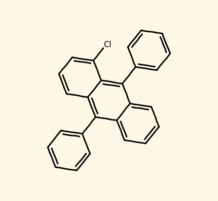 Clc1cccc2c(-c3ccccc3)c3ccccc3c(-c3ccccc3)c12